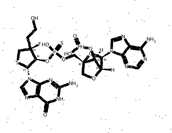 Nc1nc2c(ncn2[C@@H]2SC[C@](F)(CCO)[C@H]2OP(O)(=S)OC[C@@]23CO[C@@H]([C@H](n4cnc5c(N)ncnc54)O2)[C@@H]3O[PH](=O)O)c(=O)[nH]1